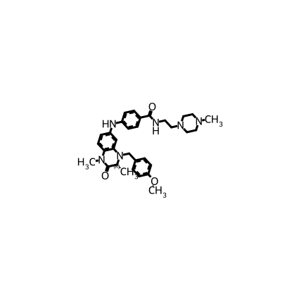 COc1ccc(CN2c3cc(Nc4ccc(C(=O)NCCN5CCN(C)CC5)cc4)ccc3N(C)C(=O)[C@H]2C)cc1